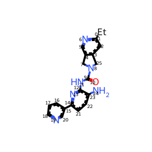 CCc1cc2c(cn1)CN(C(=O)Nc1nc(-c3cccnc3)ccc1N)C2